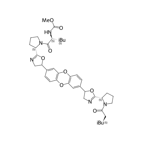 CC[C@H](C)CC(=O)N1CCC[C@H]1C1=NCC(c2ccc3c(c2)Oc2ccc(C4CN=C([C@@H]5CCCN5C(=O)[C@@H](NC(=O)OC)[C@@H](C)CC)O4)cc2O3)O1